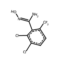 NC(=NO)c1c(C(F)(F)F)ccc(Cl)c1Cl